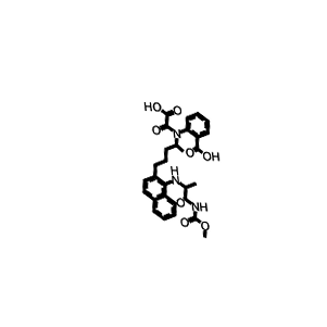 COC(=O)NC(=O)C(C)Nc1c(CCCC(C)N(C(=O)C(=O)O)c2ccccc2C(=O)O)ccc2ccccc12